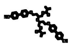 C=C(C)C(=O)OCC(CCOc1ccc(-c2ccc(C#N)cc2)cc1)OC(CCOc1ccc(-c2ccc(C#N)cc2)cc1)COC(=O)C(=C)C